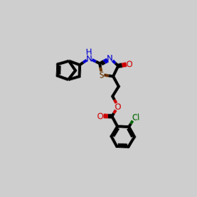 O=C(OCCC1SC(NC2CC3C=CC2C3)=NC1=O)c1ccccc1Cl